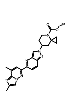 Cc1cn2nc(-c3ccc4nn(C5CCN(C(=O)OC(C)(C)C)C6(CC6)C5)cc4n3)cc(C)c2n1